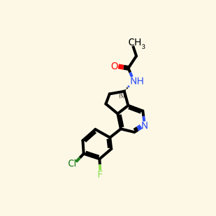 CCC(=O)N[C@H]1CCc2c(-c3ccc(Cl)c(F)c3)cncc21